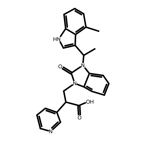 Cc1cccc2[nH]cc(C(C)n3c(=O)n(CC(C(=O)O)c4cccnc4)c4ccccc43)c12